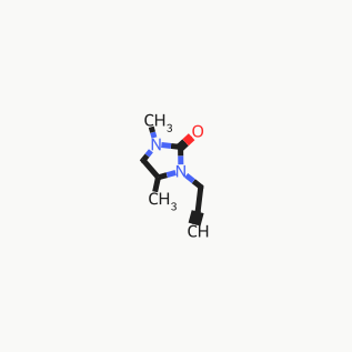 C#CCN1C(=O)N(C)CC1C